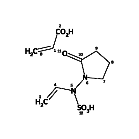 C=CC(=O)O.C=CN(N1CCCC1=O)S(=O)(=O)O